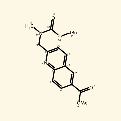 COC(=O)c1ccc2nc(CN(C)C(=O)OC(C)(C)C)ccc2c1